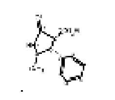 CCOC(=O)[C@@H]1C(=O)NC(C)[C@H]1c1ccccc1